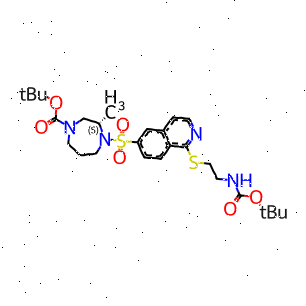 C[C@H]1CN(C(=O)OC(C)(C)C)CCCN1S(=O)(=O)c1ccc2c(SCCNC(=O)OC(C)(C)C)nccc2c1